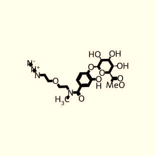 COC(=O)[C@H]1O[C@@H](Oc2ccc(C(=O)N(C)CCOCCN=[N+]=[N-])cc2O)[C@H](O)[C@@H](O)[C@@H]1O